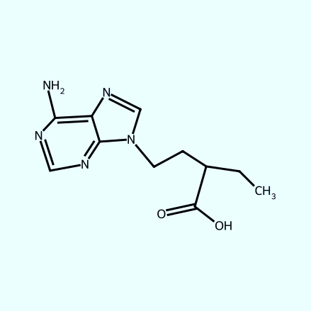 CCC(CCn1cnc2c(N)ncnc21)C(=O)O